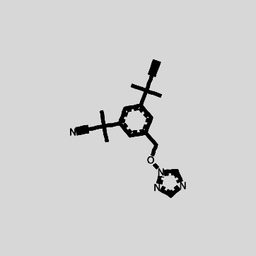 C#CC(C)(C)c1cc(COn2cncn2)cc(C(C)(C)C#N)c1